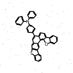 c1ccc(N(c2ccccc2)c2ccc(-c3cc4cc5sc6ccccc6c5cc4c4c3ccc3c5ccccc5oc34)cc2)cc1